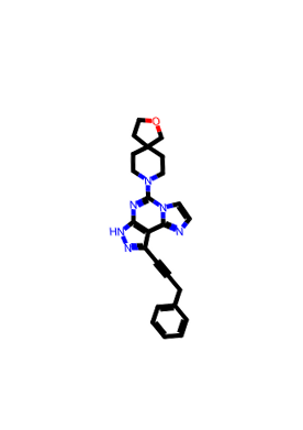 C(#Cc1n[nH]c2nc(N3CCC4(CCOC4)CC3)n3ccnc3c12)Cc1ccccc1